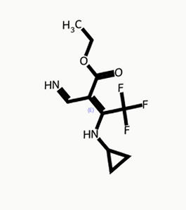 CCOC(=O)/C(C=N)=C(/NC1CC1)C(F)(F)F